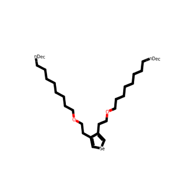 CCCCCCCCCCCCCCCCCCOCCc1c[se]cc1CCOCCCCCCCCCCCCCCCCCC